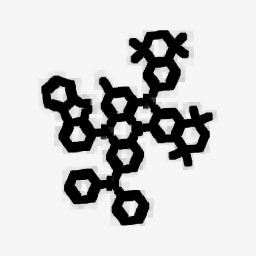 Cc1cc2c3c(c1)N(c1cccc4c1sc1ccccc14)c1cc(N(c4ccccc4)c4ccccc4)ccc1B3c1cc3c(cc1N2c1ccc2c(c1)C(C)(C)CCC2(C)C)C(C)(C)CCC3(C)C